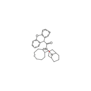 O=C(NC1CC2CCCC(C1)N2CC1CCCCCCC1)C1c2ccccc2Oc2ccccc21